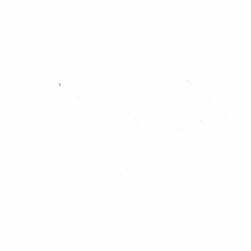 Cc1c(CNc2ccc(C(=O)N[C@@H](CCC(=O)O)C(=O)O)cc2)c(-c2ccc([N+](=O)[O-])cc2)nc2nc(N)nc(N)c12